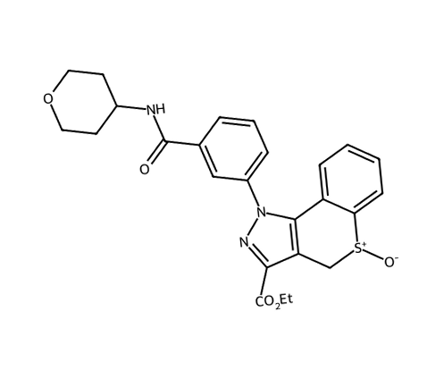 CCOC(=O)c1nn(-c2cccc(C(=O)NC3CCOCC3)c2)c2c1C[S+]([O-])c1ccccc1-2